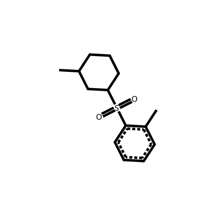 Cc1ccccc1S(=O)(=O)C1CCCC(C)C1